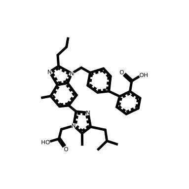 CCCc1nc2c(C)cc(-c3nc(CC(C)C)c(C)n3CC(=O)O)cc2n1Cc1ccc(-c2ccccc2C(=O)O)cc1